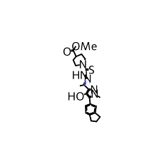 COC(=O)C1CCN(C(=S)N/N=C(\C)c2nn(C)c(-c3ccc4c(c3)CCC4)c2O)CC1